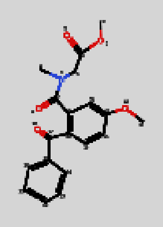 COC(=O)CN(C)C(=O)c1cc(OC)ccc1C(=O)c1ccccc1